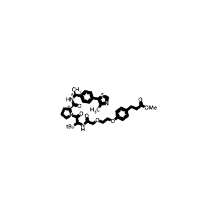 COC(=O)CCc1ccc(OCCOCC(=O)NC(C(=O)N2CCC[C@H]2C(=O)N[C@@H](C)c2ccc(-c3scnc3C)cc2)C(C)(C)C)cc1